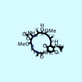 COC1/C=C/C=C(/C)C(=O)NC2=CC(=O)C(NC3CC3)=C(CC(C)CC(OC)C(O)C(C)/C=C(\C)C1OC(N)=O)C2=O